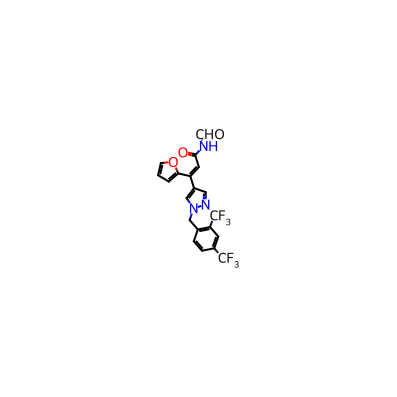 O=CNC(=O)C=C(c1cnn(Cc2ccc(C(F)(F)F)cc2C(F)(F)F)c1)c1ccco1